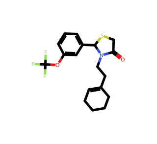 O=C1CSC(c2cccc(OC(F)(F)F)c2)N1CCC1=CCCCC1